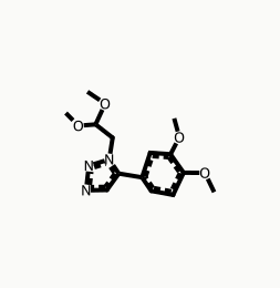 COc1ccc(-c2cnnn2CC(OC)OC)cc1OC